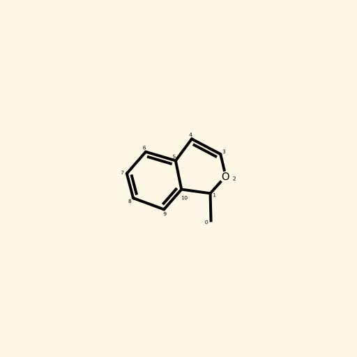 CC1OC=Cc2ccccc21